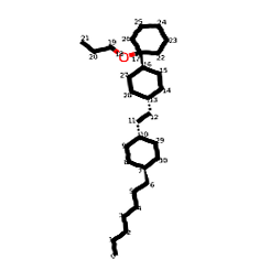 CCCCCCC[C@H]1CC[C@H](CC[C@H]2CC[C@H](C3(OCCC)CCCCC3)CC2)CC1